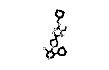 CCN(NC(=O)C1CCN(c2c(Cl)cncc2-c2ccccc2)CC1)C(=O)OCc1ccccc1